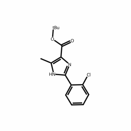 Cc1[nH]c(-c2ccccc2Cl)nc1C(=O)OC(C)(C)C